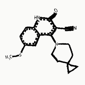 CSc1ccc2[nH]c(=O)c(C#N)c(N3CCC4(CC3)CC4)c2c1